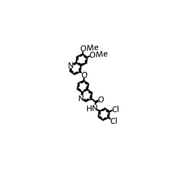 COc1cc2nccc(Oc3ccc4ncc(C(=O)Nc5ccc(Cl)c(Cl)c5)cc4c3)c2cc1OC